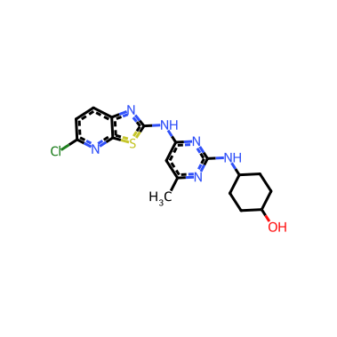 Cc1cc(Nc2nc3ccc(Cl)nc3s2)nc(NC2CCC(O)CC2)n1